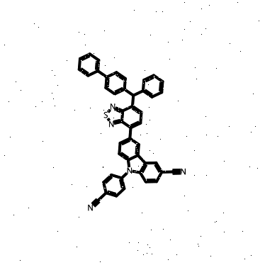 N#Cc1ccc(-n2c3ccc(C#N)cc3c3cc(-c4ccc(C(c5ccccc5)c5ccc(-c6ccccc6)cc5)c5nsnc45)ccc32)cc1